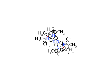 Cc1cc(C)cc(N(c2cc(C)cc(C)c2)c2ccc3c(c2)c2c(N(c4ccccc4)c4cc(C)cc(C)c4)ccc4c2n3c2ccc(N(c3cc(C)cc(C)c3)c3cc(C)cc(C)c3)c3c5cc(N(c6cc(C)cc(C)c6)c6cc(C)cc(C)c6)ccc5n4c32)c1